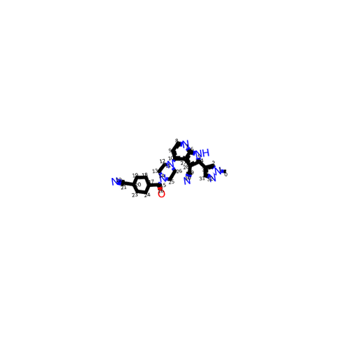 Cn1cc(-c2[nH]c3nccc(N4CCN(C(=O)C5CCC(C#N)CC5)CC4)c3c2C#N)cn1